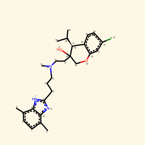 Cc1ccc(C)c2[nH]c(CCCN(C)CCC3(O)COc4cc(F)ccc4[C@@H]3C(C)C)nc12